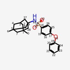 CC12CC3CC(C)(C1)CC(NS(=O)(=O)c1ccc(Oc4ccccc4)cc1)(C3)C2